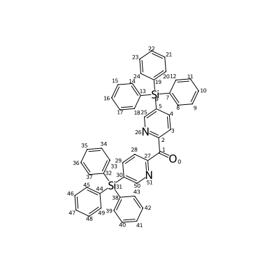 O=C(c1ccc([Si](c2ccccc2)(c2ccccc2)c2ccccc2)cn1)c1ccc([Si](c2ccccc2)(c2ccccc2)c2ccccc2)cn1